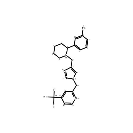 Oc1cccc(C2CCCCN2Cc2cn(Cc3cc(C(F)(F)F)ccn3)nn2)c1